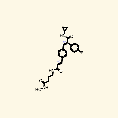 O=C(/C=C/c1ccc(/C=C(/C(=O)NC2CC2)c2ccc(F)cc2)cc1)NCCCC(=O)NO